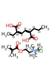 C=C(C)C(=O)OCC[N+](C)(C)C.CCCC(=CC=C(CC)C(=O)O)C(=O)O.Cl